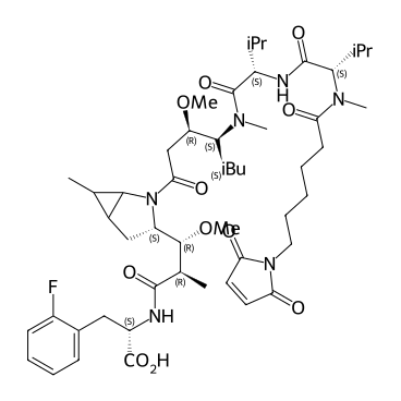 CC[C@H](C)[C@@H]([C@@H](CC(=O)N1C2C(C)C2C[C@H]1[C@H](OC)[C@@H](C)C(=O)N[C@@H](Cc1ccccc1F)C(=O)O)OC)N(C)C(=O)[C@@H](NC(=O)[C@H](C(C)C)N(C)C(=O)CCCCCN1C(=O)C=CC1=O)C(C)C